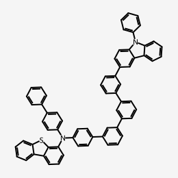 c1ccc(-c2ccc(N(c3ccc(-c4cccc(-c5cccc(-c6cccc(-c7ccc8c(c7)c7ccccc7n8-c7ccccc7)c6)c5)c4)cc3)c3cccc4c3sc3ccccc34)cc2)cc1